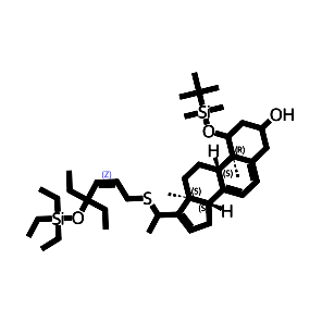 CCC(/C=C\CSC(C)C1=CC[C@H]2C3=CC=C4CC(O)CC(O[Si](C)(C)C(C)(C)C)[C@]4(C)[C@H]3CC[C@]12C)(CC)O[Si](CC)(CC)CC